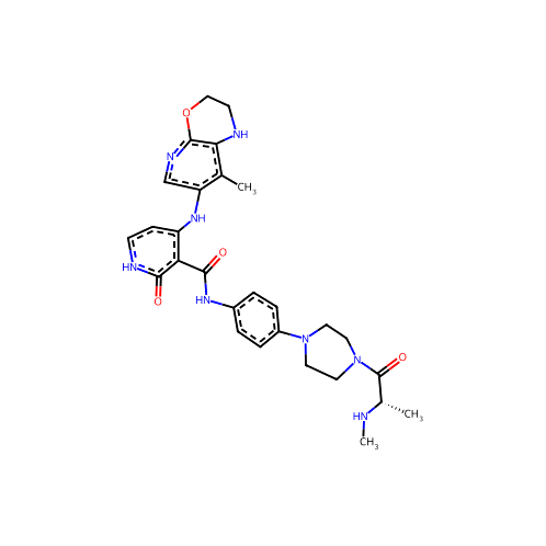 CN[C@@H](C)C(=O)N1CCN(c2ccc(NC(=O)c3c(Nc4cnc5c(c4C)NCCO5)cc[nH]c3=O)cc2)CC1